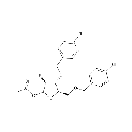 CC(=O)OC1S[C@H](COCc2ccc(Cl)cc2)[C@@H](OCc2ccc(Cl)cc2)[C@@H]1F